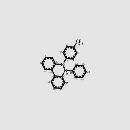 FC(F)(F)c1ccc(B2c3ccccc3-c3ccccc3N2c2ccccc2)cc1